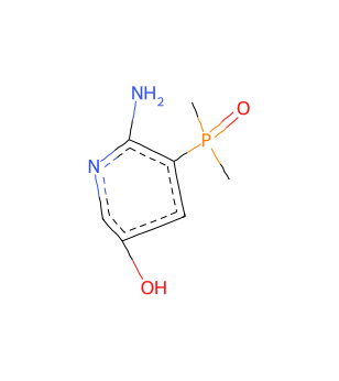 CP(C)(=O)c1cc(O)cnc1N